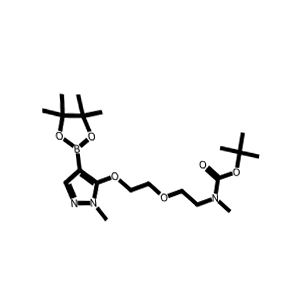 CN(CCOCCOc1c(B2OC(C)(C)C(C)(C)O2)cnn1C)C(=O)OC(C)(C)C